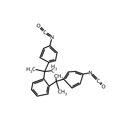 CC(C)(c1ccc(N=C=O)cc1)c1ccccc1C(C)(C)c1ccc(N=C=O)cc1